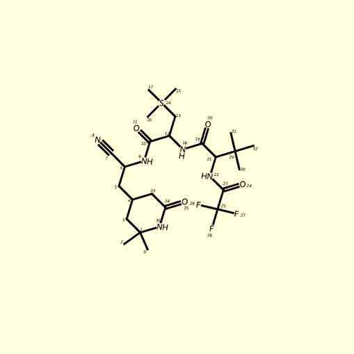 CC1(C)CC(CC(C#N)NC(=O)C(CS(C)(C)C)NC(=O)C(NC(=O)C(F)(F)F)C(C)(C)C)CC(=O)N1